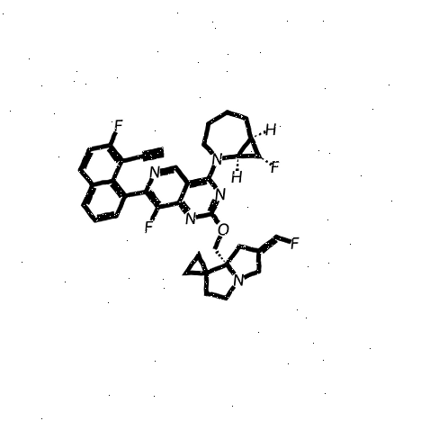 C#Cc1c(F)ccc2cccc(-c3ncc4c(N5CCCC[C@H]6[C@H](F)[C@H]65)nc(OC[C@]56C/C(=C/F)CN5CCC65CC5)nc4c3F)c12